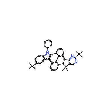 CC(C)(C)c1ccc2c(c1)c1c3cccc4c5c(c6cccc(c6c43)c1n2-c1ccccc1)-c1nc(C(C)(C)C)ncc1C5(C)C